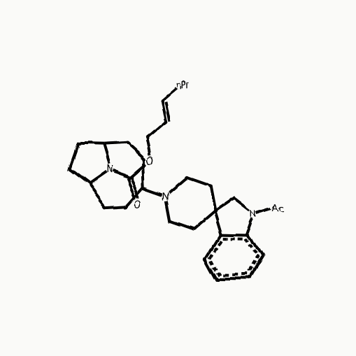 CCCC=CCOC(=O)N1C2CCC(N3CCC4(CC3)CN(C(C)=O)c3ccccc34)CCC1CC2